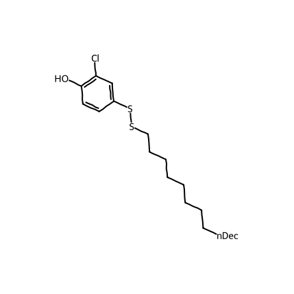 CCCCCCCCCCCCCCCCCCSSc1ccc(O)c(Cl)c1